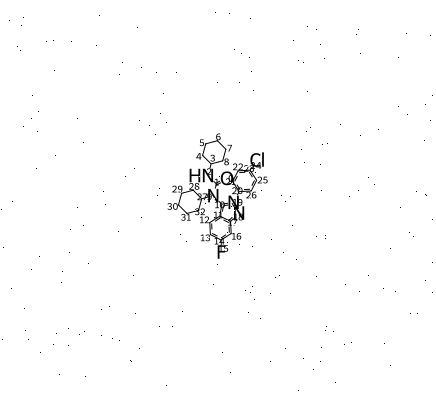 O=C(NC1CCCCC1)N(c1c2ccc(F)cc2nn1-c1ccc(Cl)cc1)C1CCCCC1